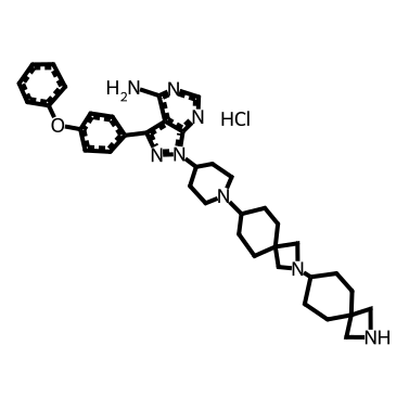 Cl.Nc1ncnc2c1c(-c1ccc(Oc3ccccc3)cc1)nn2C1CCN(C2CCC3(CC2)CN(C2CCC4(CC2)CNC4)C3)CC1